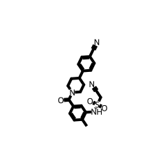 Cc1ccc(C(=O)N2CCC(c3ccc(C#N)cc3)CC2)cc1NS(=O)(=O)CC#N